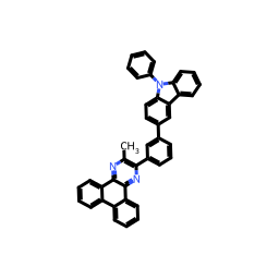 Cc1nc2c3ccccc3c3ccccc3c2nc1-c1cccc(-c2ccc3c(c2)c2ccccc2n3-c2ccccc2)c1